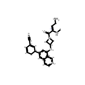 CN/C(=C\CN)C(=O)N1CC(Oc2cc(C3C=C(C#N)C=CC3)cc3ccncc23)C1